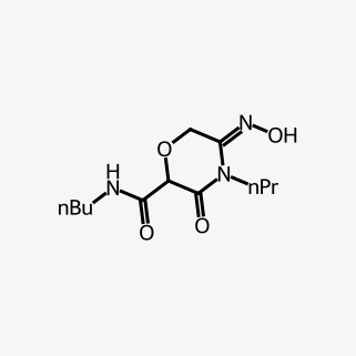 CCCCNC(=O)C1OCC(=NO)N(CCC)C1=O